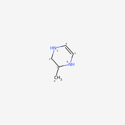 CC1CNC=CN1